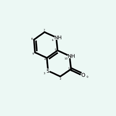 O=C1CSC2=C(NCC=C2)N1